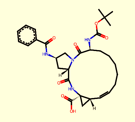 CC(C)(C)OC(=O)N[C@H]1CCCCC/C=C\[C@@H]2C[C@@]2(C(=O)O)NC(=O)[C@@H]2C[C@@H](NC(=O)c3ccccc3)CN2C1=O